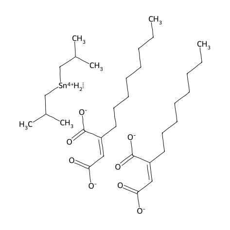 CC(C)[CH2][SnH2+4][CH2]C(C)C.CCCCCCCC/C(=C/C(=O)[O-])C(=O)[O-].CCCCCCCC/C(=C/C(=O)[O-])C(=O)[O-]